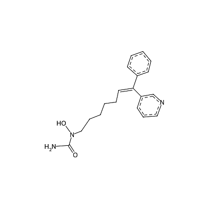 NC(=O)N(O)CCCCCC=C(c1ccccc1)c1cccnc1